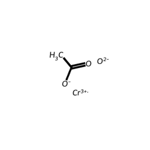 CC(=O)[O-].[Cr+3].[O-2]